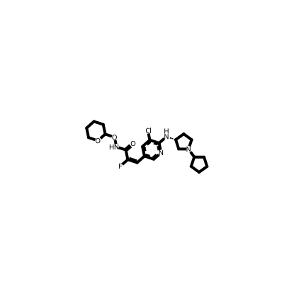 O=C(NOC1CCCCO1)/C(F)=C\c1cnc(N[C@@H]2CCN(C3CCCC3)C2)c(Cl)c1